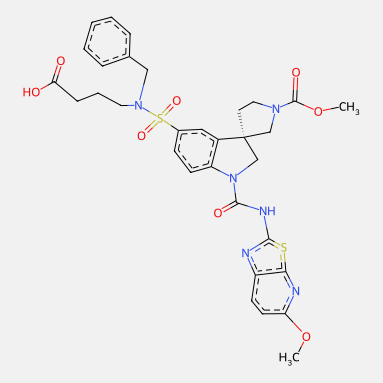 COC(=O)N1CC[C@]2(C1)CN(C(=O)Nc1nc3ccc(OC)nc3s1)c1ccc(S(=O)(=O)N(CCCC(=O)O)Cc3ccccc3)cc12